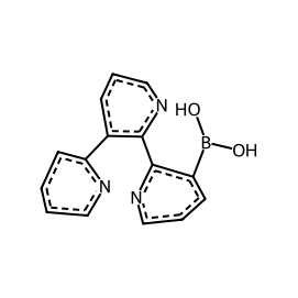 OB(O)c1cccnc1-c1ncccc1-c1ccccn1